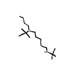 CCCCN(CCCCCNC(C)(C)C)C(C)(C)C